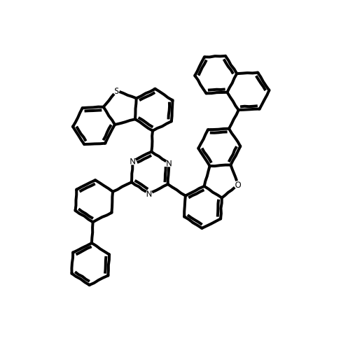 C1=CC(c2nc(-c3cccc4oc5cc(-c6cccc7ccccc67)ccc5c34)nc(-c3cccc4sc5ccccc5c34)n2)CC(c2ccccc2)=C1